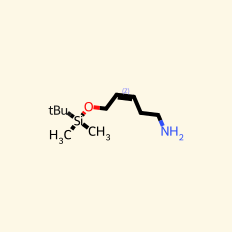 CC(C)(C)[Si](C)(C)OC/C=C\CCN